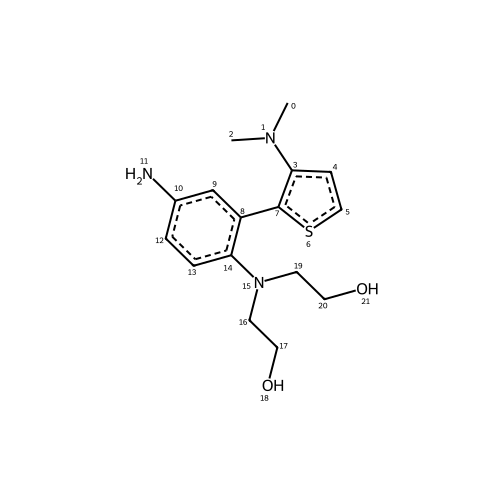 CN(C)c1ccsc1-c1cc(N)ccc1N(CCO)CCO